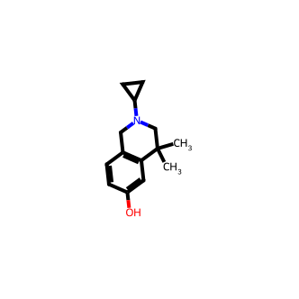 CC1(C)CN(C2CC2)Cc2ccc(O)cc21